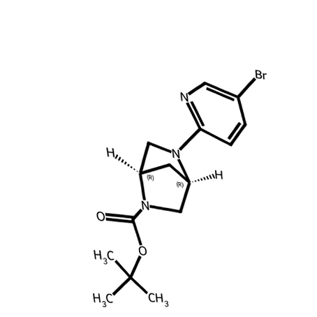 CC(C)(C)OC(=O)N1C[C@H]2C[C@@H]1CN2c1ccc(Br)cn1